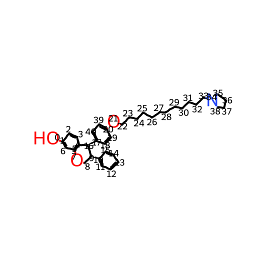 Oc1ccc2c(c1)OC[C@H](c1ccccc1)[C@@H]2c1ccc(OCCCCCCCCCCCCN2CCCC2)cc1